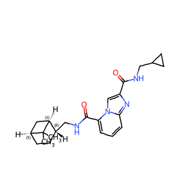 CC1(C)[C@H]2CC[C@@H](CNC(=O)c3cccc4nc(C(=O)NCC5CC5)cn34)[C@@H]1C2